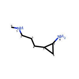 CNCCCC1CC1N